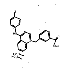 CNC(=O)c1cc(Cc2nnc(Nc3ccc(Cl)cc3)c3ccccc23)ccn1.CS(=O)(=O)O.CS(=O)(=O)O